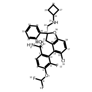 NC(=O)c1ccc(OC(F)F)c(F)c1-c1c(Cl)ccc2c1[C@H](O)[C@@](CNC1CCC1)(c1ccccc1)O2